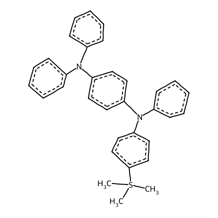 CS(C)(C)c1ccc(N(c2ccccc2)c2ccc(N(c3ccccc3)c3ccccc3)cc2)cc1